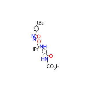 CC(C)C(COc1nnc(-c2ccc(C(C)(C)C)cc2)o1)Nc1ccc(C(=O)NCCC(=O)O)cc1